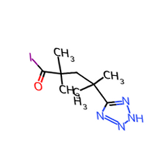 CC(C)(CC(C)(C)c1nn[nH]n1)C(=O)I